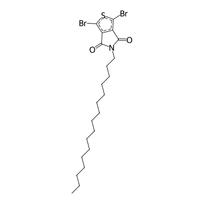 CCCCCCCCCCCCCCCCN1C(=O)c2c(Br)sc(Br)c2C1=O